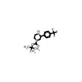 CC(C)(C)OC(=O)N1CCNC(c2ccc(C(F)(F)F)cc2)C1